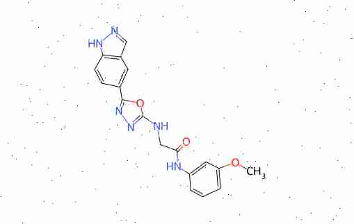 COc1cccc(NC(=O)CNc2nnc(-c3ccc4[nH]ncc4c3)o2)c1